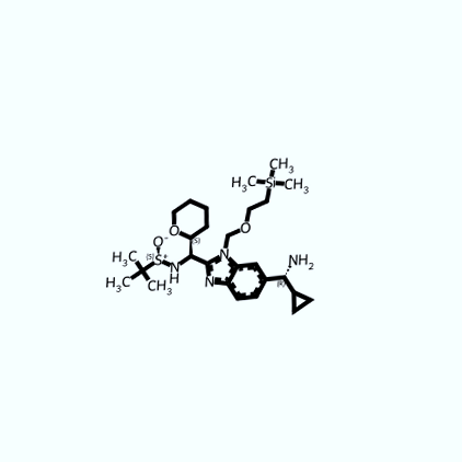 CC(C)(C)[S@@+]([O-])NC(c1nc2ccc([C@H](N)C3CC3)cc2n1COCC[Si](C)(C)C)[C@@H]1CCCCO1